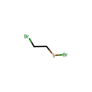 BrCCSBr